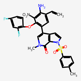 C=Cc1cc(-c2cn(C)c(=O)c3c2ccn3S(=O)(=O)c2ccc(C)cc2)c(Oc2ccc(F)cc2F)c([N+](=O)[O-])c1N